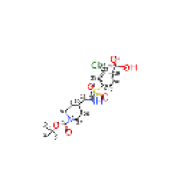 CC(C)(C)OC(=O)N1CCC(CNS(=O)(=O)c2ccc(C(=O)O)c(Cl)c2)CC1